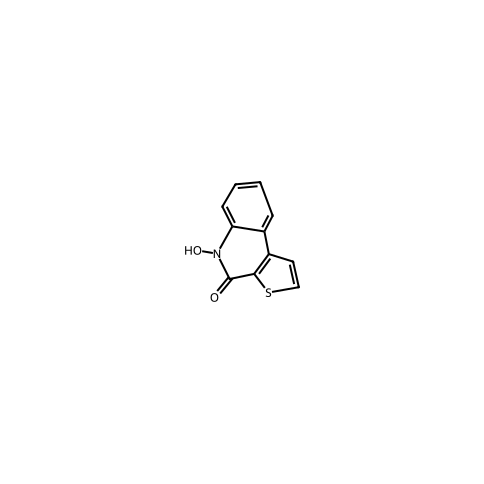 O=c1c2sccc2c2ccccc2n1O